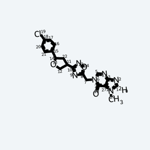 [2H]c1nc2ncn(Cc3nc(C4COC(c5ccc(Cl)cc5)C4)no3)c(=O)c2n1C